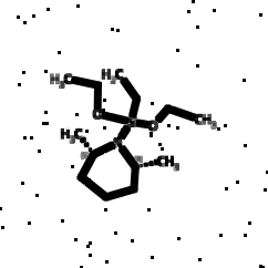 CCO[Si](CC)(OCC)N1[C@H](C)CCC[C@@H]1C